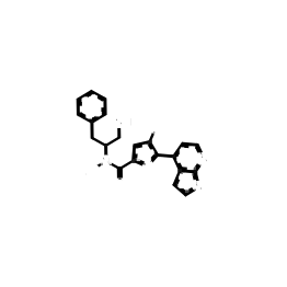 CN(C(=O)c1cc(Br)c(-c2ccnc3[nH]ccc23)s1)C(CN)Cc1ccccc1